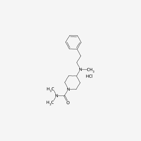 CN(C)C(=O)N1CCC(N(C)CCc2ccccc2)CC1.Cl